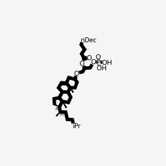 CCCCCCCCCCCCCC(=O)OC(COC1CC[C@@]2(C)C(=CCC3C2CC[C@@]2(C)C3CC[C@@H]2[C@H](C)CCCC(C)C)C1)COP(=O)(O)O